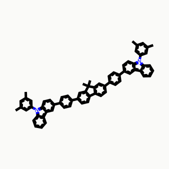 Cc1cc(C)cc(-n2c3ccccc3c3cc(-c4ccc(-c5ccc6c(c5)C(C)(C)c5cc(-c7ccc(-c8ccc9c(c8)c8ccccc8n9-c8cc(C)cc(C)c8)cc7)ccc5-6)cc4)ccc32)c1